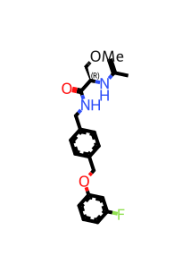 C=C(C)N[C@H](COC)C(=O)NCc1ccc(COc2cccc(F)c2)cc1